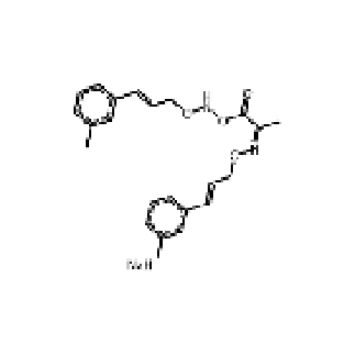 CC(=NOC/C=C/c1cccc(C)c1)C(=O)ONOC/C=C/c1cccc(C)c1.[NaH]